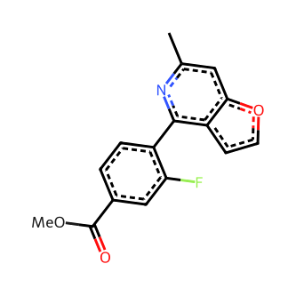 COC(=O)c1ccc(-c2nc(C)cc3occc23)c(F)c1